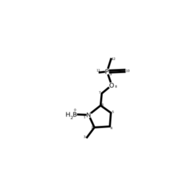 BN1C(C)CCC1COP(=C)(C)C